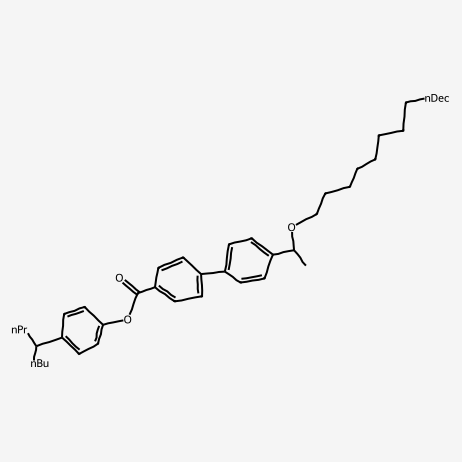 CCCCCCCCCCCCCCCCCCOC(C)c1ccc(-c2ccc(C(=O)Oc3ccc(C(CCC)CCCC)cc3)cc2)cc1